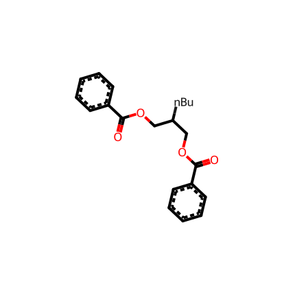 CCCCC(COC(=O)c1ccccc1)COC(=O)c1ccccc1